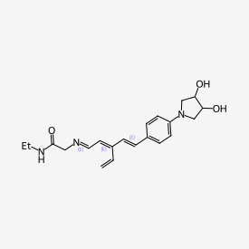 C=CC(/C=C/c1ccc(N2CC(O)C(O)C2)cc1)=C\C=N\CC(=O)NCC